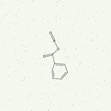 O=BOC(=O)c1ccccc1